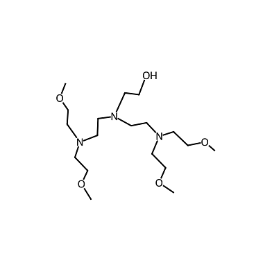 COCCN(CCOC)CCN(CCO)CCN(CCOC)CCOC